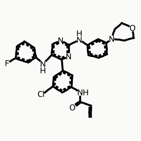 C=CC(=O)Nc1cc(Cl)cc(-c2nc(Nc3cccc(N4CCOCC4)c3)ncc2Nc2cccc(F)c2)c1